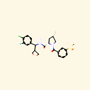 CC[C@@H]1C[C@H](C(=O)NC(c2ccc(Cl)c(F)c2)C2COC2)N(C(=O)c2cccc(S(C)(=O)=O)c2)C1